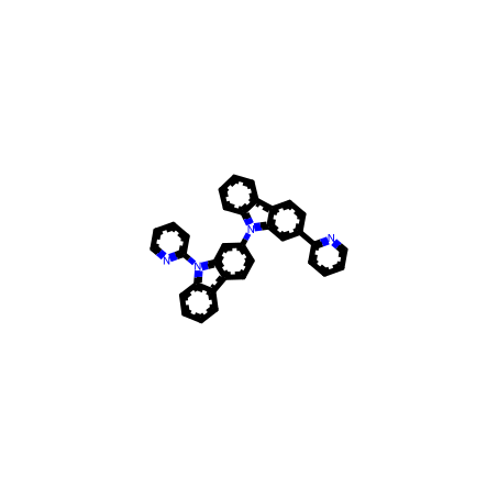 c1ccc(-c2ccc3c4ccccc4n(-c4ccc5c6ccccc6n(-c6ccccn6)c5c4)c3c2)nc1